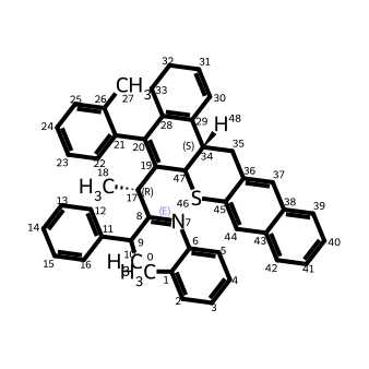 Cc1ccccc1/N=C(\C(C)c1ccccc1)[C@H](C)C1=C(c2ccccc2C)C2=C(C=CCC2)[C@@H]2Cc3cc4ccccc4cc3SC12